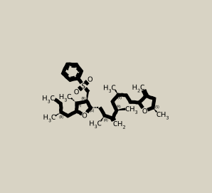 C=C1C[C@H](C)OC1CC[C@@H](C)C[C@@H](C)C(=C)[C@H](C)C[C@@H]1OC(C[C@H](C)CC)[C@H](C)[C@H]1CS(=O)(=O)c1ccccc1